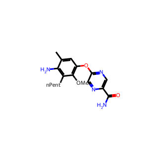 CCCCCc1c(N)c(C)cc(Oc2cnc(C(N)=O)cn2)c1OC